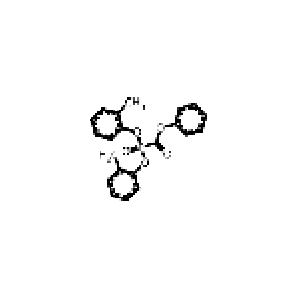 Cc1ccccc1OP(=O)(Oc1ccccc1C)C(=O)Oc1ccccc1